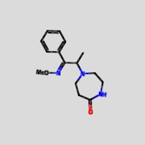 CON=C(c1ccccc1)C(C)N1CCNC(=O)CC1